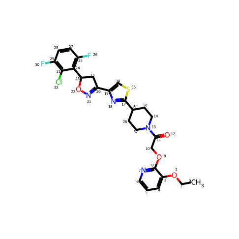 CCOc1cccnc1OCC(=O)N1CCC(c2nc(C3=NOC(c4c(F)ccc(F)c4Cl)C3)cs2)CC1